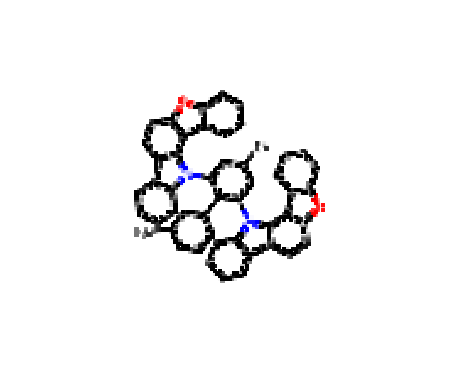 N#Cc1cc(-n2c3ccccc3c3ccc4oc5ccccc5c4c32)c(-c2cccc(C(F)(F)F)c2)c(-n2c3ccccc3c3ccc4oc5ccccc5c4c32)c1